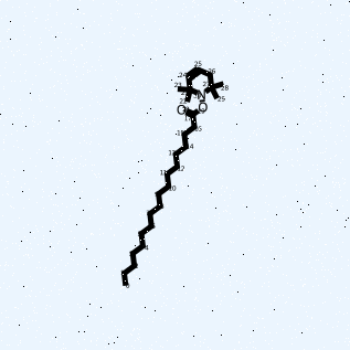 CCCCCCCCCCCCCCCCCC(=O)ON1C(C)(C)C#CCC1(C)C